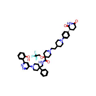 O=C1CC[C@H](c2ccc(N3CCC(CCN4CCC(OCC(F)(F)F)(C(=O)NCC5(c6ccccc6)CCN(c6cnnc(-c7ccccc7O)c6)CC5)CC4)CC3)cc2)C(=O)N1